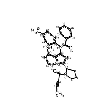 CC#CC(=O)N1CCC[C@H]1c1nc(N(C(=O)c2ccccc2)c2ccc(C)cn2)c2c(N)nccn12